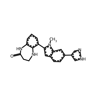 Cn1c(-c2cccc3c2NCCC(=O)N3)cc2ccc(-c3cn[nH]c3)cc21